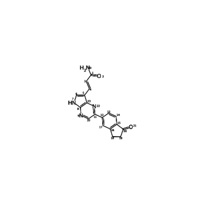 NC(=O)C=Cc1c[nH]c2ncc(-c3ccc4c(c3)CCC4=O)nc12